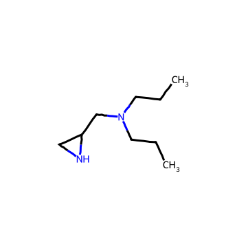 CCCN(CCC)CC1CN1